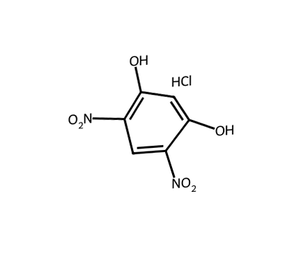 Cl.O=[N+]([O-])c1cc([N+](=O)[O-])c(O)cc1O